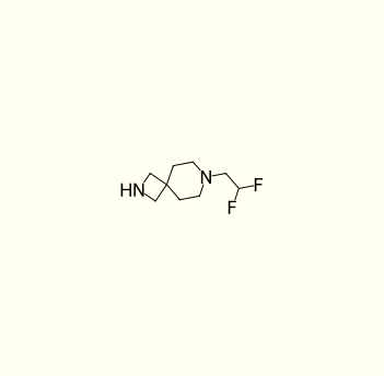 FC(F)CN1CCC2(CC1)CNC2